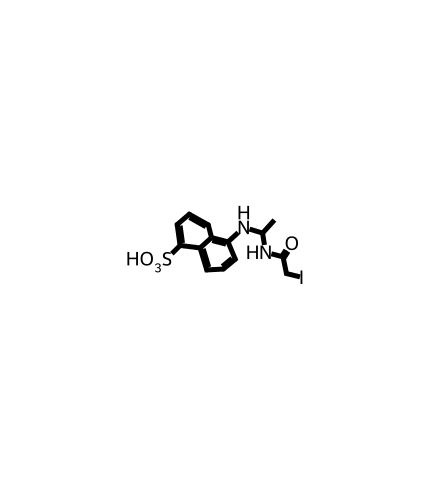 CC(NC(=O)CI)Nc1cccc2c(S(=O)(=O)O)cccc12